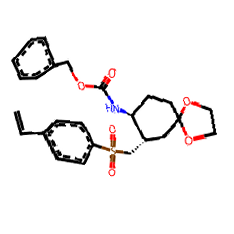 C=Cc1ccc(S(=O)(=O)C[C@H]2CC3(CC[C@@H]2NC(=O)OCc2ccccc2)OCCO3)cc1